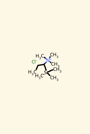 CCC([N+](C)(C)C)[Si](C)(C)C.[Cl-]